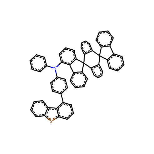 c1ccc(N(c2ccc(-c3cccc4sc5ccccc5c34)cc2)c2cccc3c2-c2ccccc2C32c3ccccc3C3(c4ccccc4-c4ccccc43)c3ccccc32)cc1